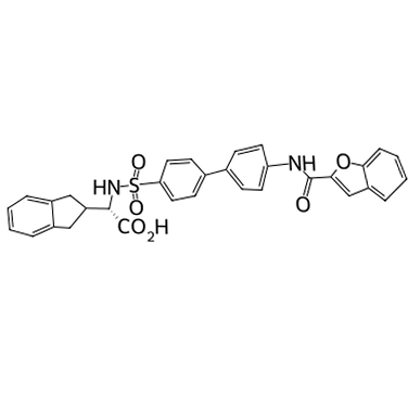 O=C(Nc1ccc(-c2ccc(S(=O)(=O)N[C@H](C(=O)O)C3Cc4ccccc4C3)cc2)cc1)c1cc2ccccc2o1